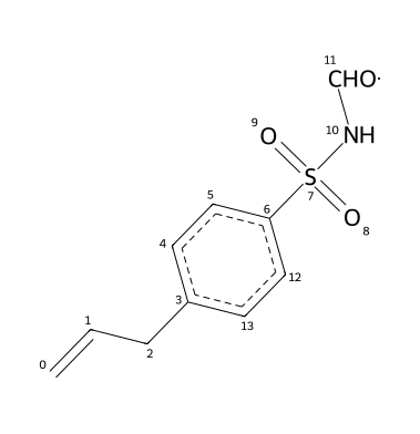 C=CCc1ccc(S(=O)(=O)N[C]=O)cc1